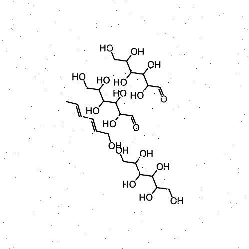 C/C=C/C=C/CO.O=CC(O)C(O)C(O)C(O)CO.O=CC(O)C(O)C(O)C(O)CO.OCC(O)C(O)C(O)C(O)CO